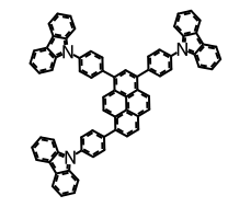 c1ccc2c(c1)c1ccccc1n2-c1ccc(-c2ccc3ccc4c(-c5ccc(-n6c7ccccc7c7ccccc76)cc5)cc(-c5ccc(-n6c7ccccc7c7ccccc76)cc5)c5ccc2c3c45)cc1